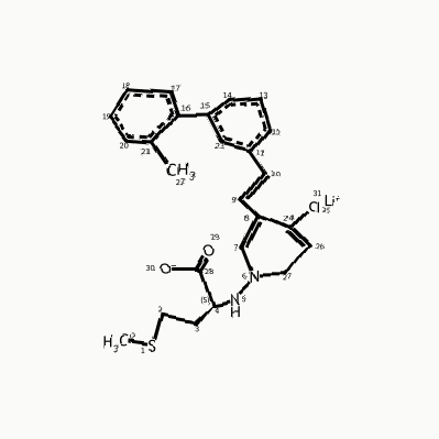 CSCC[C@H](NN1C=C(C=Cc2cccc(-c3ccccc3C)c2)C(Cl)=CC1)C(=O)[O-].[Li+]